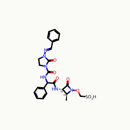 C[C@H]1[C@H](NC(=O)C(NC(=O)N2CCN(N=Cc3ccccc3)C2=O)c2ccccc2)C(=O)N1OCS(=O)(=O)O